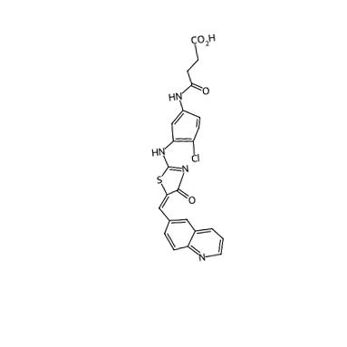 O=C(O)CCC(=O)Nc1ccc(Cl)c(NC2=NC(=O)C(=Cc3ccc4ncccc4c3)S2)c1